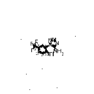 Nc1nnnn1-c1cc(C(F)(F)F)ccc1Cl